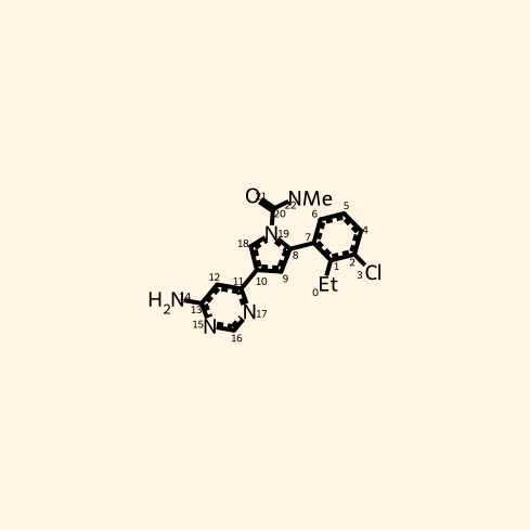 CCc1c(Cl)cccc1-c1cc(-c2cc(N)ncn2)cn1C(=O)NC